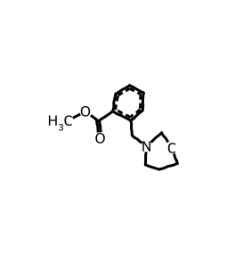 COC(=O)c1ccccc1CN1CCCCC1